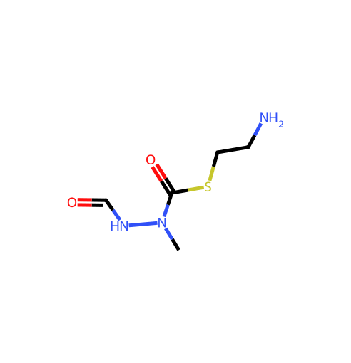 CN(NC=O)C(=O)SCCN